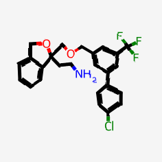 NCCC1(COCc2cc(-c3ccc(Cl)cc3)cc(C(F)(F)F)c2)OCc2ccccc21